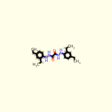 CCc1ccc(NNC(=O)C(=O)NNc2ccc(CC)cc2CC)c(CC)c1